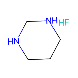 C1CNCNC1.F